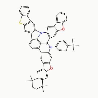 CC(C)(C)c1ccc(N2B3c4cc5oc6ccccc6c5cc4-n4c5cc6c(cc5c5ccc(c3c54)-c3cc4c(cc32)oc2cc3c(cc24)C(C)(C)CCC3(C)C)sc2ccccc26)cc1